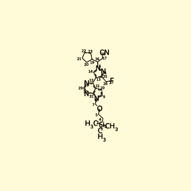 C[Si](C)(C)CCOCn1ccc2c(-c3cn(C(CC#N)C4CCCC4)nc3CF)ncnc21